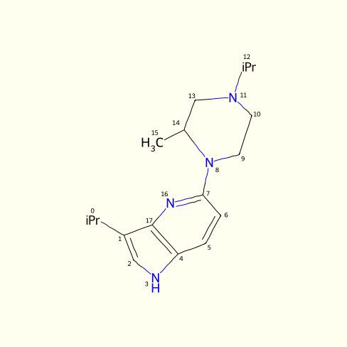 CC(C)c1c[nH]c2ccc(N3CCN(C(C)C)CC3C)nc12